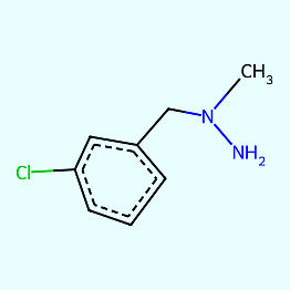 CN(N)Cc1cccc(Cl)c1